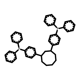 c1ccc(P(c2ccccc2)c2ccc(C3CCCCCC(c4ccc(P(c5ccccc5)c5ccccc5)cc4)C3)cc2)cc1